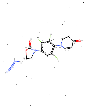 [N-]=[N+]=NC[C@H]1CN(c2cc(F)c(N3C=CC(=O)CC3)c(F)c2F)C(=O)O1